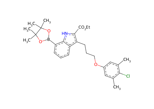 CCOC(=O)c1[nH]c2c(B3OC(C)(C)C(C)(C)O3)cccc2c1CCCOc1cc(C)c(Cl)c(C)c1